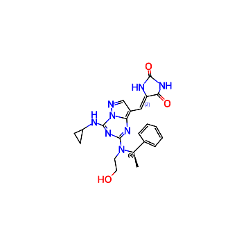 C[C@H](c1ccccc1)N(CCO)c1nc(NC2CC2)n2ncc(/C=C3\NC(=O)NC3=O)c2n1